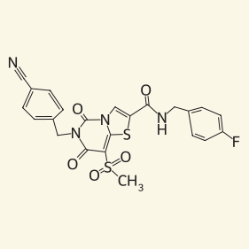 CS(=O)(=O)c1c(=O)n(Cc2ccc(C#N)cc2)c(=O)n2cc(C(=O)NCc3ccc(F)cc3)sc12